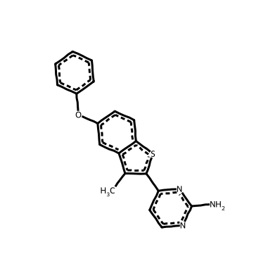 Cc1c(-c2ccnc(N)n2)sc2ccc(Oc3ccccc3)cc12